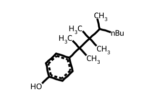 CCCCC(C)C(C)(C)C(C)(C)c1ccc(O)cc1